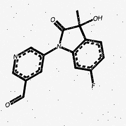 CC1(O)C(=O)N(c2cncc(C=O)c2)c2cc(F)ccc21